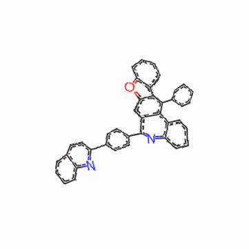 c1ccc(-c2c3c(cc4c(-c5ccc(-c6ccc7ccccc7n6)cc5)nc5ccccc5c24)oc2ccccc23)cc1